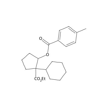 CCOC(=O)C1(C2CCCCC2)CCCC1OC(=O)c1ccc(C)cc1